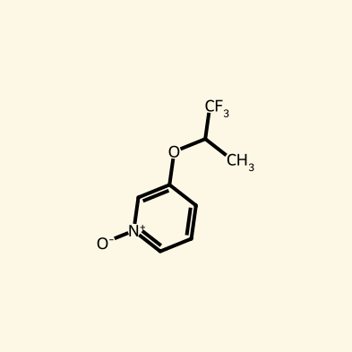 CC(Oc1ccc[n+]([O-])c1)C(F)(F)F